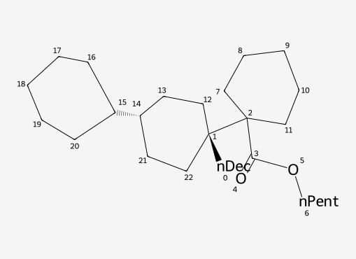 CCCCCCCCCC[C@]1(C2(C(=O)OCCCCC)CCCCC2)CC[C@@H](C2CCCCC2)CC1